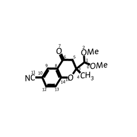 COC(OC)C1(C)CC(=O)c2cc(C#N)ccc2O1